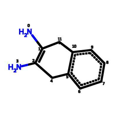 NC1=C(N)Cc2ccccc2[CH]1